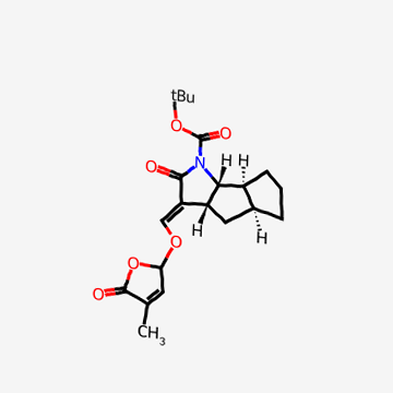 CC1=CC(O/C=C2/C(=O)N(C(=O)OC(C)(C)C)[C@@H]3[C@H]4CCC[C@H]4C[C@H]23)OC1=O